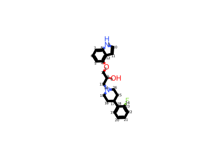 O[C@H](COc1cccc2[nH]ccc12)CN1CCC(c2ccccc2F)CC1